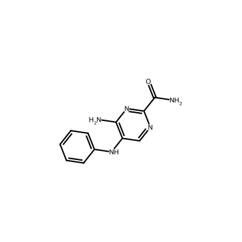 NC(=O)c1ncc(Nc2ccccc2)c(N)n1